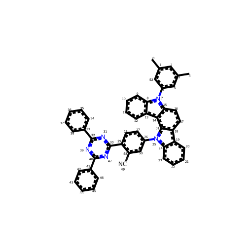 Cc1cc(C)cc(-n2c3ccccc3c3c2ccc2c4ccccc4n(-c4ccc(-c5nc(-c6ccccc6)nc(-c6ccccc6)n5)c(C#N)c4)c23)c1